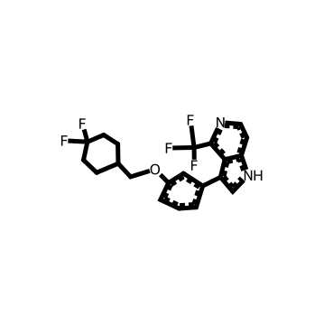 FC1(F)CCC(COc2cccc(-c3c[nH]c4ccnc(C(F)(F)F)c34)c2)CC1